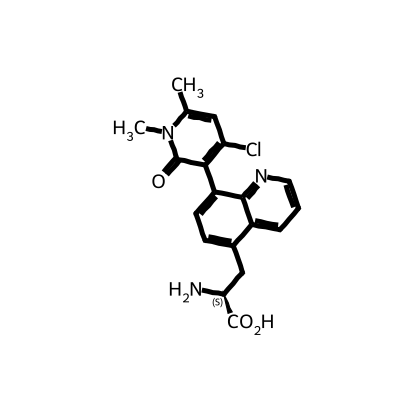 Cc1cc(Cl)c(-c2ccc(C[C@H](N)C(=O)O)c3cccnc23)c(=O)n1C